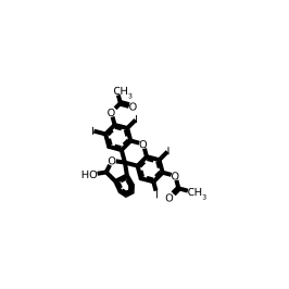 CC(=O)Oc1c(I)cc2c(c1I)Oc1c(cc(I)c(OC(C)=O)c1I)C21OC(O)c2ccccc21